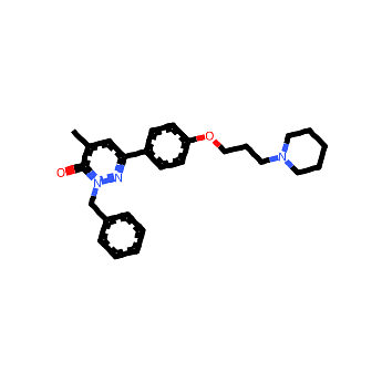 Cc1cc(-c2ccc(OCCCN3CCCCC3)cc2)nn(Cc2ccccc2)c1=O